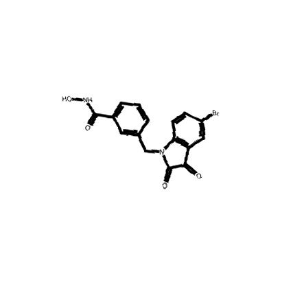 O=C(NO)c1cccc(CN2C(=O)C(=O)c3cc(Br)ccc32)c1